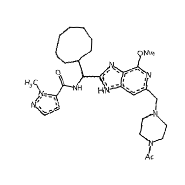 COc1nc(CN2CCN(C(C)=O)CC2)cc2[nH]c(C(NC(=O)c3ccnn3C)C3CCCCCCC3)nc12